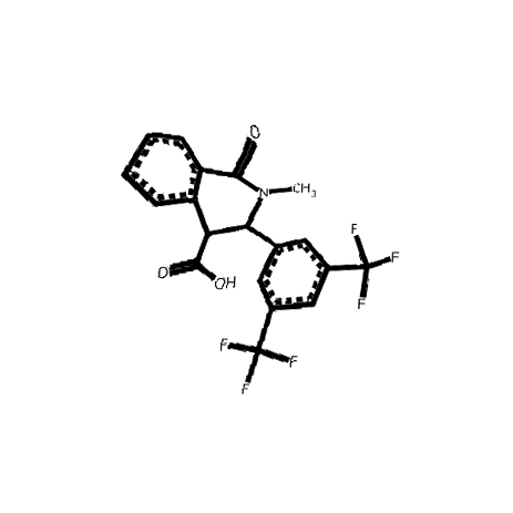 CN1C(=O)c2ccccc2C(C(=O)O)C1c1cc(C(F)(F)F)cc(C(F)(F)F)c1